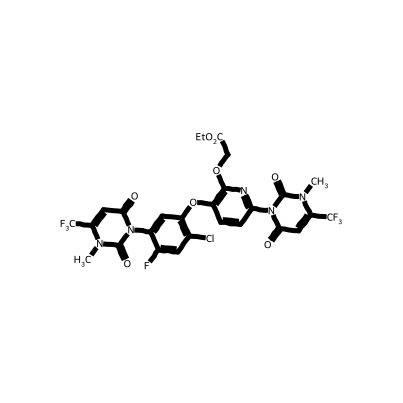 CCOC(=O)COc1nc(-n2c(=O)cc(C(F)(F)F)n(C)c2=O)ccc1Oc1cc(-n2c(=O)cc(C(F)(F)F)n(C)c2=O)c(F)cc1Cl